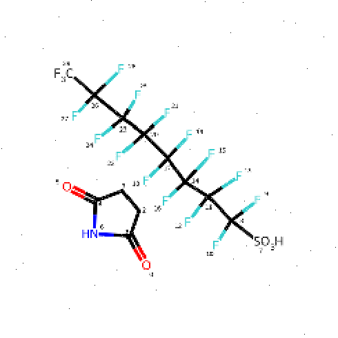 O=C1CCC(=O)N1.O=S(=O)(O)C(F)(F)C(F)(F)C(F)(F)C(F)(F)C(F)(F)C(F)(F)C(F)(F)C(F)(F)F